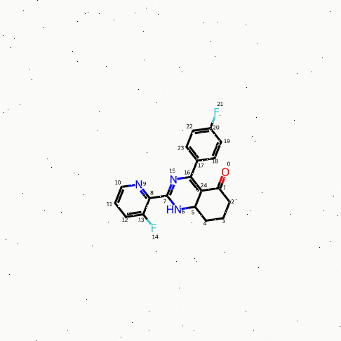 O=C1CCCC2NC(c3ncccc3F)=NC(c3ccc(F)cc3)=C12